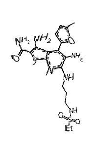 CCS(=O)(=O)NCCCNc1nc2sc(C(N)=O)c(N)c2c(-c2ccc(C)o2)c1N